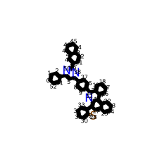 c1ccc(-c2cc(-c3ccc(-c4nc5c(c6ccccc46)c4ccccc4c4sc6ccccc6c54)cc3)nc(-c3ccc4ccccc4c3)n2)cc1